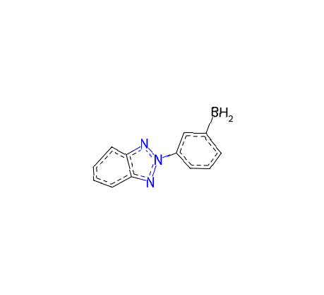 Bc1cccc(-n2nc3ccccc3n2)c1